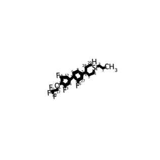 CCC[SiH]1CCC(c2ccc(-c3cc(F)c(OCC(F)(F)F)c(F)c3)c(F)c2)CC1